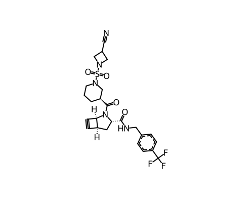 N#CC1CN(S(=O)(=O)N2CCC[C@H](C(=O)N3[C@@H]4C#C[C@@H]4C[C@H]3C(=O)NCc3ccc(C(F)(F)F)cc3)C2)C1